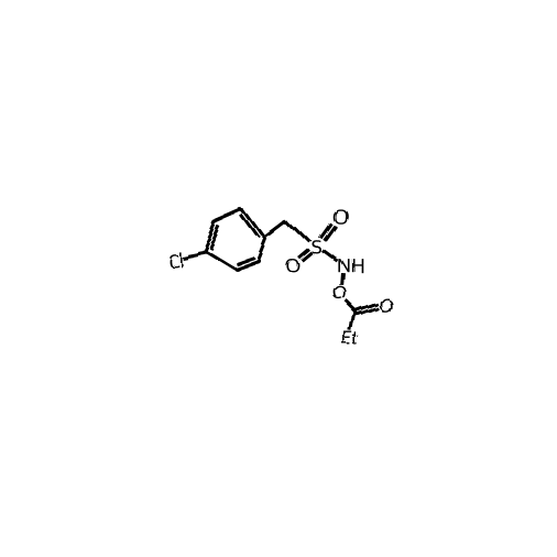 CCC(=O)ONS(=O)(=O)Cc1ccc(Cl)cc1